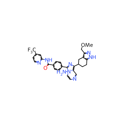 COCc1n[nH]c2c1CC(C1=C3C=NC=C[N+]3(N)C(c3ccc(C(=O)Nc4cc(C(F)(F)F)ccn4)cc3)=N1)CC2